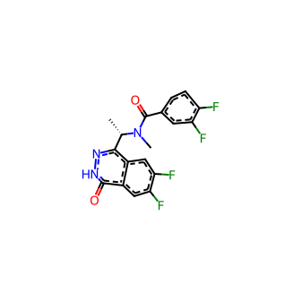 C[C@@H](c1n[nH]c(=O)c2cc(F)c(F)cc12)N(C)C(=O)c1ccc(F)c(F)c1